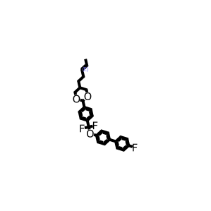 C/C=C/CCC1COC(c2ccc(C(F)(F)Oc3ccc(-c4ccc(F)cc4)cc3)cc2)OC1